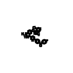 CN1CCN(C(=O)N2CCN(c3ccc(C(=N)c4cc(O[C@H](N)c5c(Cl)cncc5Cl)ccc4N)cn3)CC2)CC1